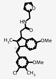 COc1ccc2c(c1)C(CC(=O)NCc1ccco1)=C(C)/C2=C/c1cc(Cl)c(C)c(OC)c1